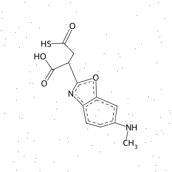 CNc1ccc2nc(C(CC(=O)S)C(=O)O)oc2c1